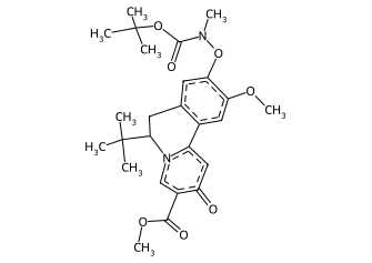 COC(=O)c1cn2c(cc1=O)-c1cc(OC)c(ON(C)C(=O)OC(C)(C)C)cc1CC2C(C)(C)C